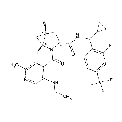 CCNc1cnc(C)cc1C(=O)N1[C@@H](C(=O)NC(c2ccc(C(F)(F)F)cc2F)C2CC2)C[C@H]2C[C@H]21